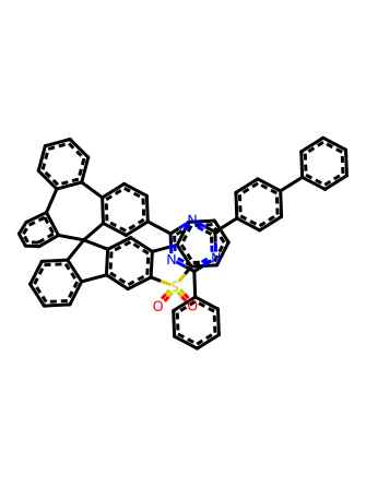 O=S1(=O)c2ccccc2-c2cc3c(cc21)-c1ccccc1C31c2ccccc2-c2ccccc2-c2ccc(-c3nc(-c4ccccc4)nc(-c4ccc(-c5ccccc5)cc4)n3)cc21